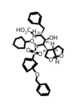 O=C(O)N[C@@H](Cc1ccccc1)[C@@H](O)C([C@@H]1CO[C@H]2OCC[C@H]21)N(OC1CCCCC1)S(=O)(=O)c1cccc(OCc2ccccc2)c1